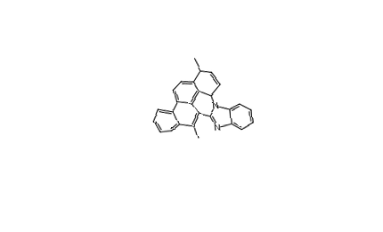 Cc1c2c3c4c(ccc3c3ccccc13)C(C)C=CC4n1c-2nc2ccccc21